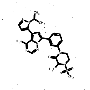 CC1C(=O)N(c2cccc(-c3cc(-c4ccnn4C(C)C)c4c(N)ncnn34)c2)CCN1S(C)(=O)=O